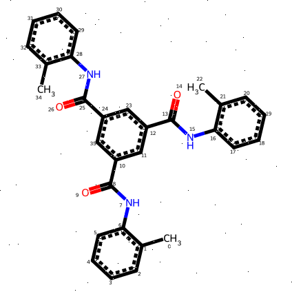 Cc1ccccc1NC(=O)c1cc(C(=O)Nc2ccccc2C)cc(C(=O)Nc2ccccc2C)c1